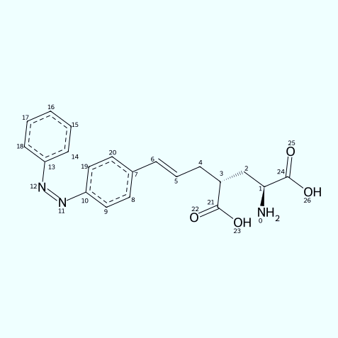 N[C@@H](C[C@@H](C/C=C/c1ccc(/N=N\c2ccccc2)cc1)C(=O)O)C(=O)O